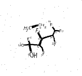 C=C.OC(O)(F)C(F)C(F)C(F)C(F)F